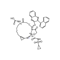 O=C(O)N[C@H]1CCCCC2=C(C2)/N=C\[C@H]2[C@@H](C(=O)NS(=O)(=O)C3CC3)CC(=O)N2[C@H](Oc2nc3ccccc3nc2-c2cccc3ccccc23)CCC1=O